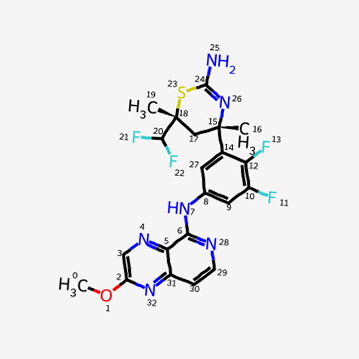 COc1cnc2c(Nc3cc(F)c(F)c([C@]4(C)C[C@](C)(C(F)F)SC(N)=N4)c3)nccc2n1